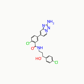 Nc1nc2cc(-c3ccc(Cl)c(C(=O)NCC[C@@H](O)c4ccc(Cl)cc4)c3)ccn2n1